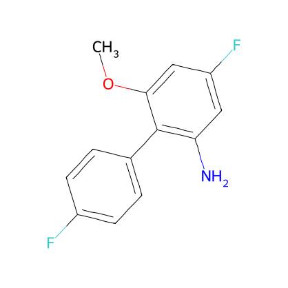 COc1cc(F)cc(N)c1-c1ccc(F)cc1